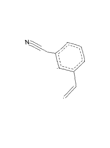 [CH]=Cc1[c]c(C#N)ccc1